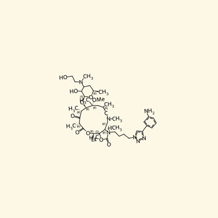 CC[C@H]1OC(=O)[C@H](C)C(=O)[C@H](C)[C@@H](O[C@@H]2O[C@H](C)CC(N(C)CCO)C2O)[C@](C)(OC)C[C@@H](C)CN(C)[C@H](C)[C@H]2N(CCCCn3cc(-c4cccc(N)c4)nn3)C(=O)O[C@]12C